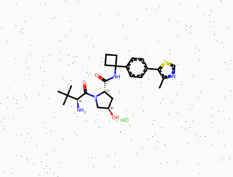 Cc1ncsc1-c1ccc(C2(NC(=O)[C@@H]3C[C@@H](O)CN3C(=O)[C@@H](N)C(C)(C)C)CCC2)cc1.Cl